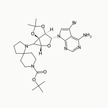 CC(C)(C)OC(=O)N1CCC2(CCCN2C2[C@H]3O[C@@H](n4cc(Br)c5c(N)ncnc54)[C@@H]4OC(C)(C)O[C@]234)CC1